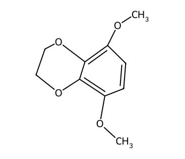 COc1ccc(OC)c2c1OCCO2